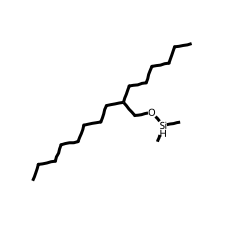 CCCCCCCCC(CCCCCC)CO[SiH](C)C